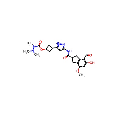 COc1cc(O)c(C=O)c2c1C[C@@H](C(=O)Nc1cc(C3CC(OC(=O)N(C)N(C)C)C3)[nH]n1)C2